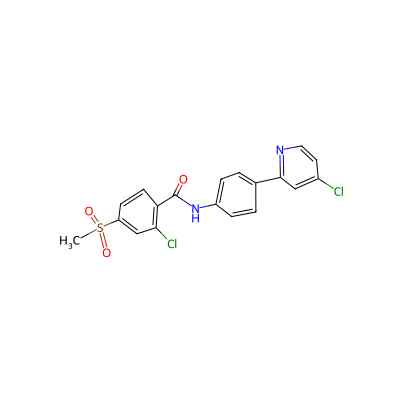 CS(=O)(=O)c1ccc(C(=O)Nc2ccc(-c3cc(Cl)ccn3)cc2)c(Cl)c1